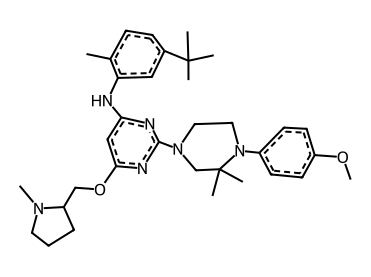 COc1ccc(N2CCN(c3nc(Nc4cc(C(C)(C)C)ccc4C)cc(OCC4CCCN4C)n3)CC2(C)C)cc1